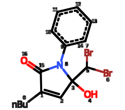 CCCCC1=CC(O)(C(Br)Br)N(c2ccccc2)C1=O